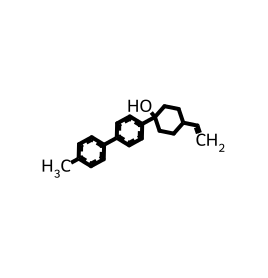 C=CC1CCC(O)(c2ccc(-c3ccc(C)cc3)cc2)CC1